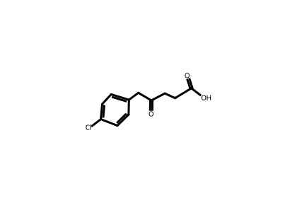 O=C(O)CCC(=O)Cc1ccc(Cl)cc1